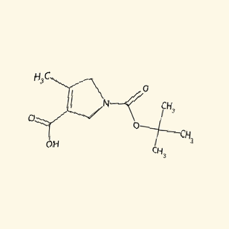 CC1=C(C(=O)O)CN(C(=O)OC(C)(C)C)C1